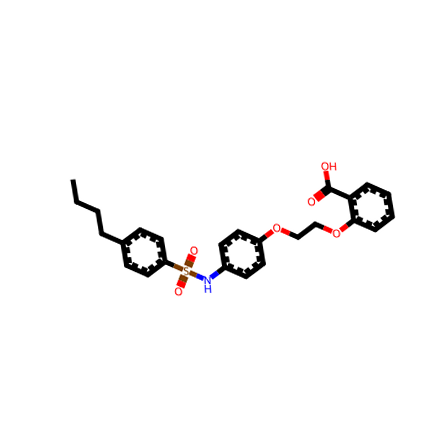 CCCCc1ccc(S(=O)(=O)Nc2ccc(OCCOc3ccccc3C(=O)O)cc2)cc1